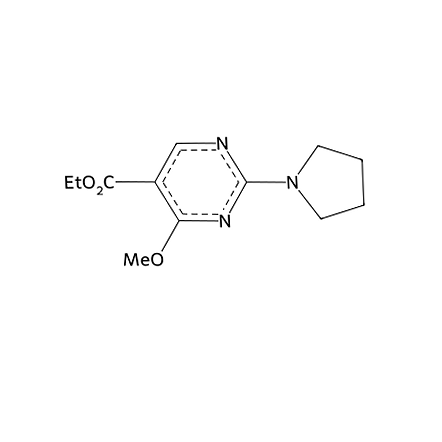 CCOC(=O)c1cnc(N2CCCC2)nc1OC